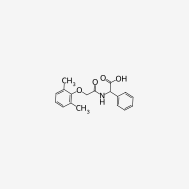 Cc1cccc(C)c1OCC(=O)NC(C(=O)O)c1ccccc1